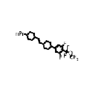 CCCC1CCC(CCC2CCC(c3cc(F)c(C(F)(F)OC(F)(F)F)c(F)c3)CC2)CC1